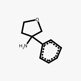 NC1(c2ccccc2)CCOC1